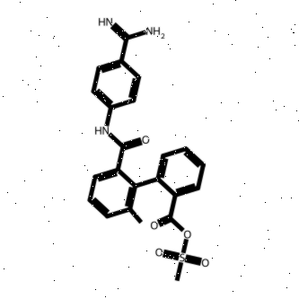 Cc1cccc(C(=O)Nc2ccc(C(=N)N)cc2)c1-c1ccccc1C(=O)OS(C)(=O)=O